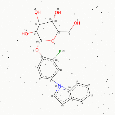 OCC1O[C@H](Oc2ccc(-n3ccc4ccccc43)cc2F)C(O)C(O)[C@@H]1O